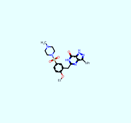 CCCc1n[nH]c2c(=O)[nH]c(Cc3cc(S(=O)(=O)N4CCN(C)CC4)ccc3OCC)nc12